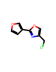 ClCc1coc(-c2ccoc2)n1